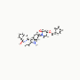 CC1CCC[C@@H]1C(=O)N1CCc2c(c3ccc(-n4ccc(OCc5ccccc5)cc4=O)cc3n2C)C1